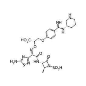 C[C@H]1[C@H](NC(=O)/C(=N\O[C@@H](COc2ccc(C(=N)N[C@H]3CCCNC3)cc2)C(=O)O)c2nsc(N)n2)C(=O)N1S(=O)(=O)O